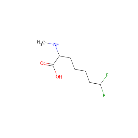 CNC(CCCCC(F)F)C(=O)O